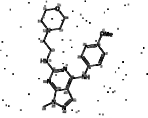 COc1ccc(Nc2nc(NCCN3CCOCC3)nc3c2cnn3C)cc1